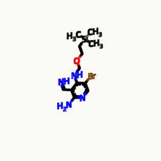 C[Si](C)(C)CCOCNc1c(Br)cnc(N)c1C=N